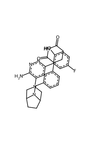 Nc1nnc(-c2cc(F)ccc2O)cc1N1CC2CCC(C1)N2Cc1cccc(C2CCC(=O)NC2=O)c1